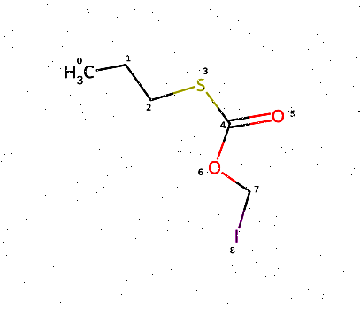 CCCSC(=O)OCI